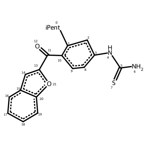 CCCC(C)c1cc(NC(N)=S)ccc1C(=O)c1cc2ccccc2o1